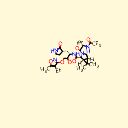 CCc1c(OCC(=O)[C@H](C[C@@H]2CCNC2=O)NC(=O)[C@@H]2[C@@H]3[C@H](CN2C(=O)[C@@H](NC(=O)C(F)(F)F)C(C)C)C3(C)C)noc1C